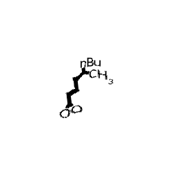 CCCCC(C)CCCC1OO1